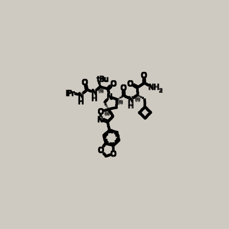 CC(C)NC(=O)N[C@H](C(=O)N1C[C@@]2(CC(c3ccc4c(c3)OCO4)=NO2)C[C@H]1C(=O)N[C@@H](CC1CCC1)C(=O)C(N)=O)C(C)(C)C